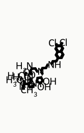 C=Nc1c(/C(=N\C)NC)ccn1[C@@H]1C[C@H](CN(CCCNCCc2ccc3cc(Cl)c(Cl)cc3c2)CC[C@H](N)C(=O)OCC)[C@@H](O)[C@H]1O